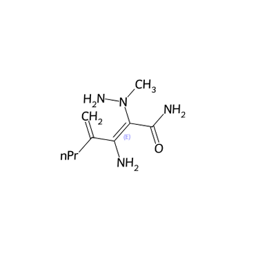 C=C(CCC)/C(N)=C(/C(N)=O)N(C)N